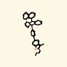 C=C/C=C\c1oc2ccc(-c3ccc(-c4c5ccccc5c(-c5cccc6ccccc56)c5ccccc45)cc3)cc2c1C